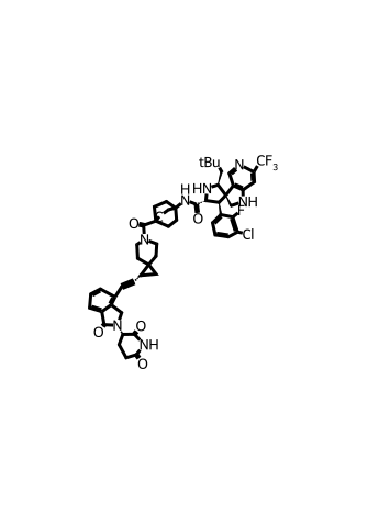 CC(C)(C)C[C@@H]1N[C@@H](C(=O)NC23CCC(C(=O)N4CCC5(CC4)C[C@@H]5C#Cc4cccc5c4CN([C@H]4CCC(=O)NC4=O)C5=O)(CC2)CC3)[C@H](c2cccc(Cl)c2F)[C@]12CNc1cc(C(F)(F)F)ncc12